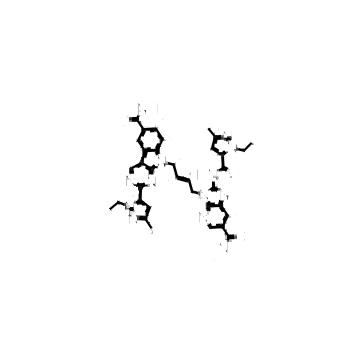 CCn1nc(C)cc1C(=O)Nc1nc2cc(C(N)=O)cnc2n1CC=CCn1c2ccc(C(N)=O)cc2c2cnc(-c3cc(C)nn3CC)nc21